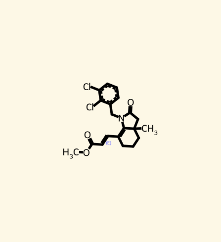 COC(=O)/C=C/C1=C2N(Cc3cccc(Cl)c3Cl)C(=O)CC2(C)CCC1